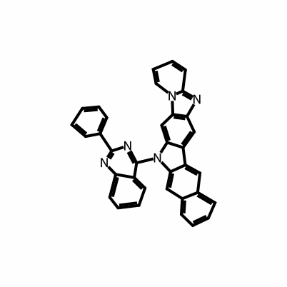 c1ccc(-c2nc(-n3c4cc5ccccc5cc4c4cc5nc6ccccn6c5cc43)c3ccccc3n2)cc1